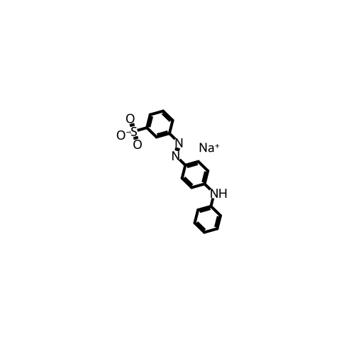 O=S(=O)([O-])c1cccc(N=Nc2ccc(Nc3ccccc3)cc2)c1.[Na+]